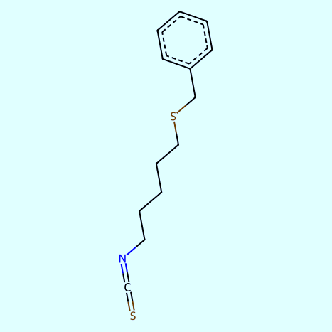 S=C=NCCCCCSCc1ccccc1